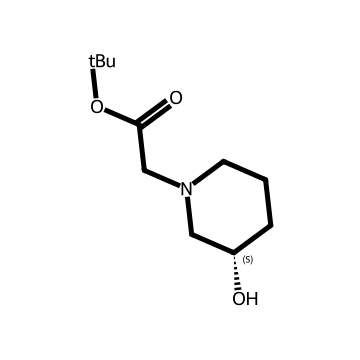 CC(C)(C)OC(=O)CN1CCC[C@H](O)C1